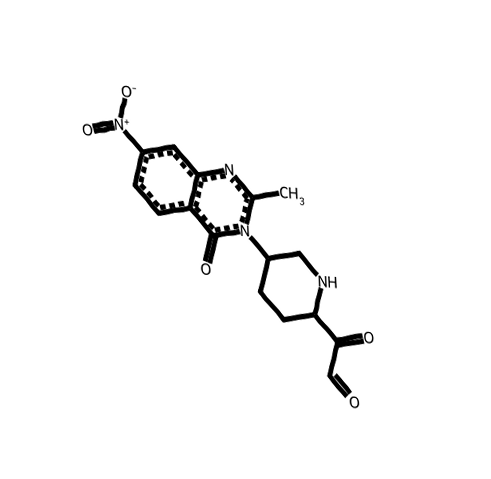 Cc1nc2cc([N+](=O)[O-])ccc2c(=O)n1C1CCC(C(=O)C=O)NC1